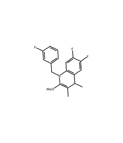 COC1=C(C)C(C)c2cc(F)c(F)cc2N1Cc1cccc(F)c1